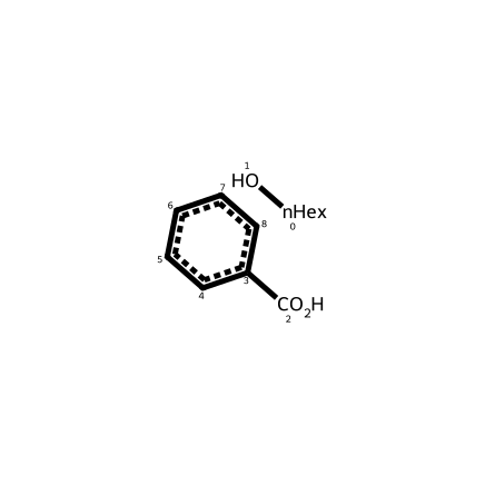 CCCCCCO.O=C(O)c1ccccc1